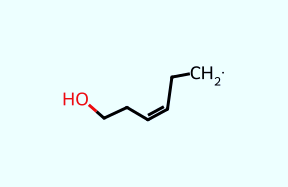 [CH2]C/C=C\CCO